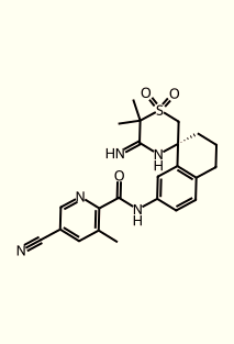 Cc1cc(C#N)cnc1C(=O)Nc1ccc2c(c1)[C@]1(CCC2)CS(=O)(=O)C(C)(C)C(=N)N1